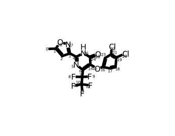 Cc1cc(-c2nc(C(F)(F)C(F)(F)F)c(Oc3ccc(Cl)c(Cl)c3)c(=O)[nH]2)no1